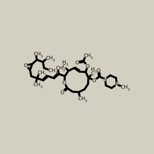 CCC(C)C(C)C1OC1CC(C)(C)/C=C/C=C(\C)C1OC(=O)CC(C)CCC(C)(OC(=O)N2CCN(C)CC2)C(OC(C)=O)/C=C/C1C